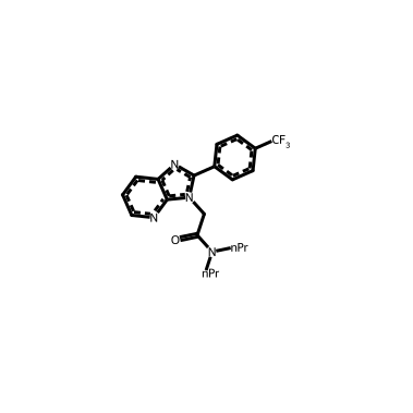 CCCN(CCC)C(=O)Cn1c(-c2ccc(C(F)(F)F)cc2)nc2cccnc21